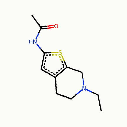 CCN1CCc2cc(NC(C)=O)sc2C1